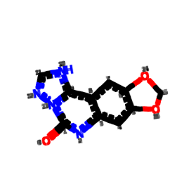 O=c1nc2cc3c(cc2c2[nH]cnn12)OCO3